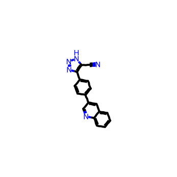 N#Cc1[nH]nnc1-c1ccc(-c2cnc3ccccc3c2)cc1